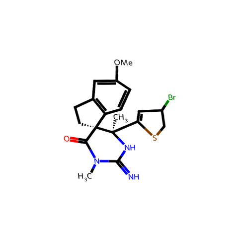 COc1ccc2c(c1)CC[C@]21C(=O)N(C)C(=N)N[C@]1(C)C1=CC(Br)CS1